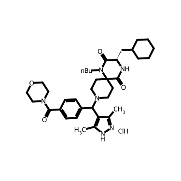 CCCCN1C(=O)[C@H](CC2CCCCC2)NC(=O)C12CCN(C(c1ccc(C(=O)N3CCOCC3)cc1)c1c(C)n[nH]c1C)CC2.Cl